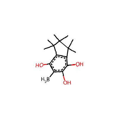 Bc1c(O)c(O)c2c(c1O)C(C)(C)C(C)(C)C2(C)C